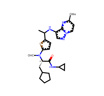 COc1ccn2ncc(NC(C)c3ccc(N(C=O)[C@@H](CC4CCCC4)C(=O)NC4CC4)s3)c2n1